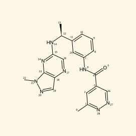 Cc1cc(C(=O)Nc2cccc([C@H](C)Nc3cnc4cnn(C)c4n3)c2)cnn1